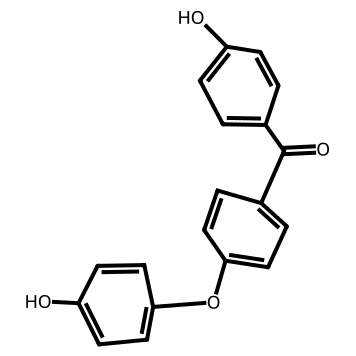 O=C(c1ccc(O)cc1)c1ccc(Oc2ccc(O)cc2)cc1